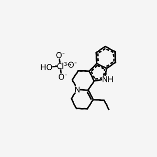 CCC1=C2c3[nH]c4ccccc4c3CCN2CCC1.[O-][Cl+3]([O-])([O-])O